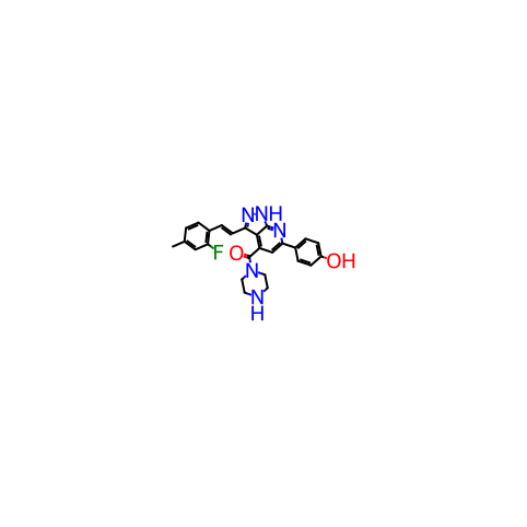 Cc1ccc(C=Cc2n[nH]c3nc(-c4ccc(O)cc4)cc(C(=O)N4CCNCC4)c23)c(F)c1